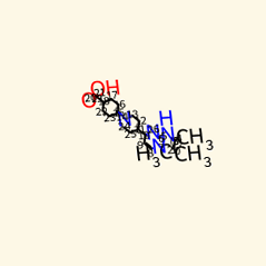 CC(C)[C@H](C)Nc1nccc(C2CCN(C3CCC(C(=O)O)CC3)CC2)n1